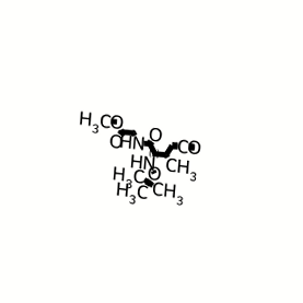 COC(=O)CNC(=O)[C@@H](NOC(C)(C)C)C(C)C=C=O